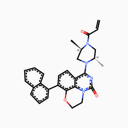 C=CC(=O)N1C[C@H](C)N(c2nc(=O)n3c4c(c(-c5cccc6ccccc56)ccc24)OCC3)C[C@H]1C